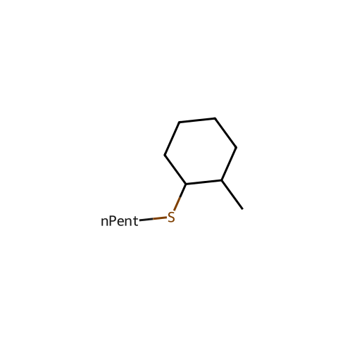 CCCCCSC1CCCCC1C